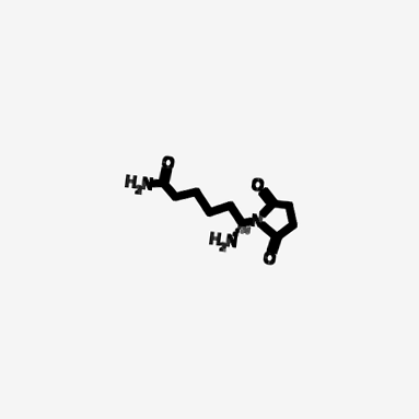 NC(=O)CCCC[C@@H](N)N1C(=O)CCC1=O